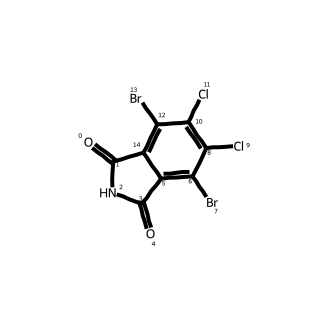 O=C1NC(=O)c2c(Br)c(Cl)c(Cl)c(Br)c21